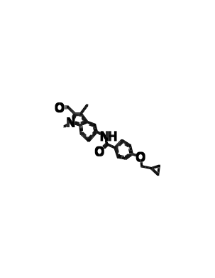 Cc1c(C=O)n(C)c2ccc(NC(=O)c3ccc(OCC4CC4)cc3)cc12